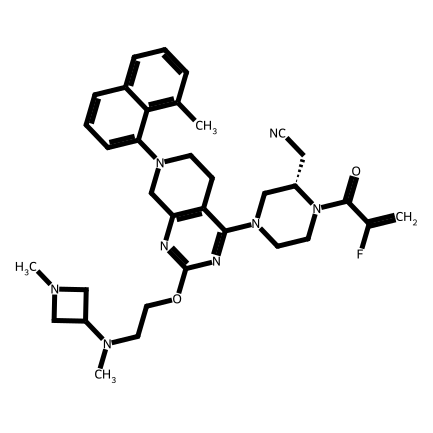 C=C(F)C(=O)N1CCN(c2nc(OCCN(C)C3CN(C)C3)nc3c2CCN(c2cccc4cccc(C)c24)C3)C[C@@H]1CC#N